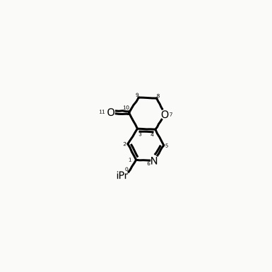 CC(C)c1cc2c(cn1)OCCC2=O